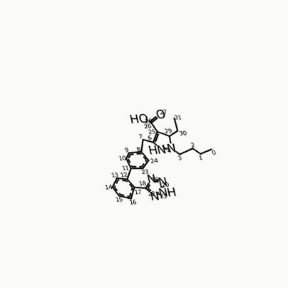 CCCCN1NC(Cc2ccc(-c3ccccc3-c3nn[nH]n3)cc2)=C(C(=O)O)C1CC